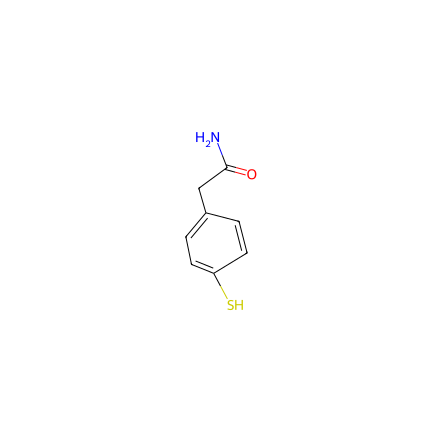 NC(=O)Cc1ccc(S)cc1